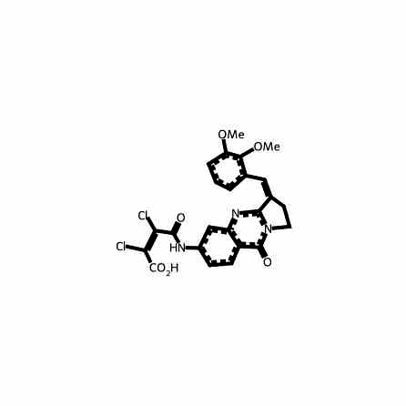 COc1cccc(/C=C2/CCn3c2nc2cc(NC(=O)/C(Cl)=C(/Cl)C(=O)O)ccc2c3=O)c1OC